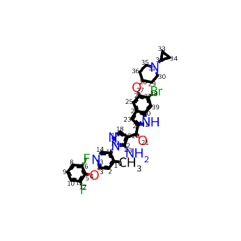 Cc1cc(Oc2c(F)cccc2F)ncc1-n1ncc(C(=O)c2cc3cc(OC4CCN(C5CC5)CC4)c(Br)cc3[nH]2)c1N